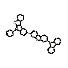 c1ccc(-n2c3ccc(-c4ccc5c(c4)sc4cc(-n6c7ccccc7c7ccccc76)ccc45)cc3c3c4ccccc4oc32)cc1